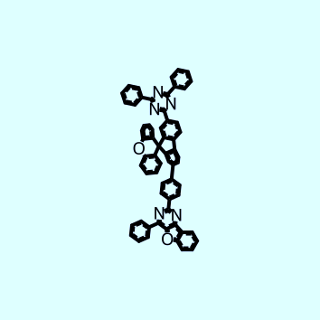 c1ccc(-c2nc(-c3ccccc3)nc(-c3ccc4c(c3)C3(c5ccccc5Oc5ccccc53)c3cc(-c5ccc(-c6nc(-c7ccccc7)c7oc8ccccc8c7n6)cc5)ccc3-4)n2)cc1